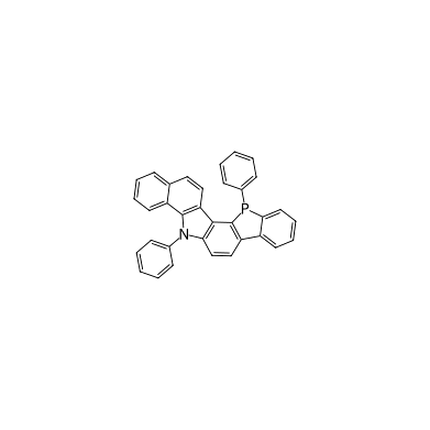 c1ccc(-n2c3ccc4c5ccccc5p(-c5ccccc5)c4c3c3ccc4ccccc4c32)cc1